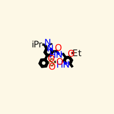 CCOc1cc(C)[nH]c(=O)c1CNC(=O)c1cc(-c2ccccc2S(C)(=O)=O)cc2c(C(C)C)ncn12